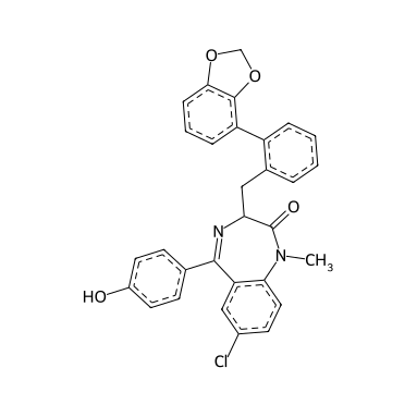 CN1C(=O)C(Cc2ccccc2-c2cccc3c2OCO3)N=C(c2ccc(O)cc2)c2cc(Cl)ccc21